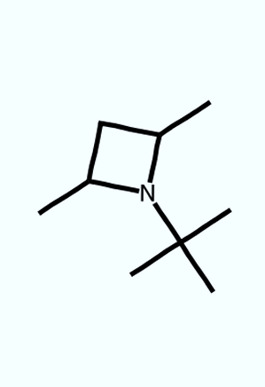 CC1CC(C)N1C(C)(C)C